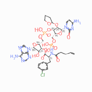 C=CCCC(=O)N[C@@H](Cc1cccc(Cl)c1)C(=O)O[C@H]1[C@@H](O)[C@H](n2cnc3c(N)ncnc32)O[C@@H]1COP(=O)(O)O[C@H]1[C@@H](OC2CCCO2)[C@H](n2ccc(N)nc2=O)O[C@@H]1COP(=O)(O)O